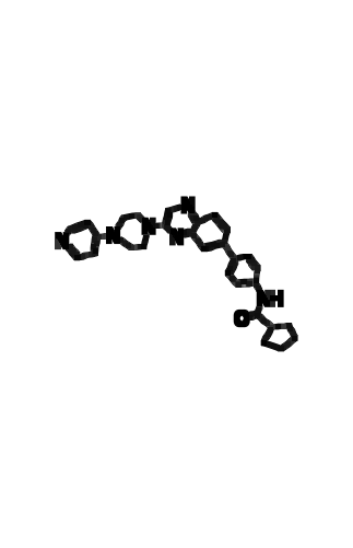 O=C(Nc1ccc(-c2ccc3ncc(N4CCN(c5ccncc5)CC4)nc3c2)cc1)C1CCCC1